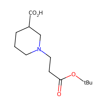 CC(C)(C)OC(=O)CCN1CCCC(C(=O)O)C1